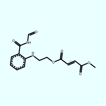 COC(=O)/C=C/C(=O)OCCNc1ccccc1C(=O)NC=O